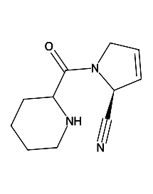 N#C[C@@H]1C=CCN1C(=O)C1CCCCN1